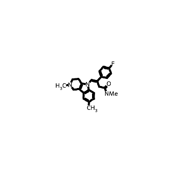 CNC(=O)CC(=Cn1c2c(c3cc(C)ccc31)CN(C)CC2)c1ccc(F)cc1